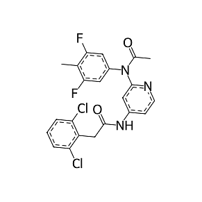 CC(=O)N(c1cc(F)c(C)c(F)c1)c1cc(NC(=O)Cc2c(Cl)cccc2Cl)ccn1